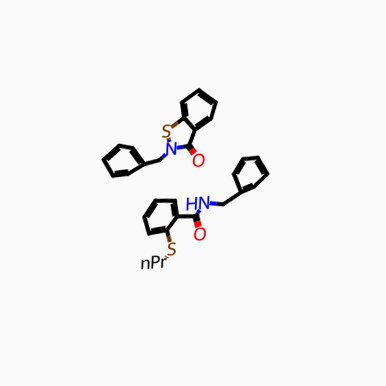 CCCSc1ccccc1C(=O)NCc1ccccc1.O=c1c2ccccc2sn1Cc1ccccc1